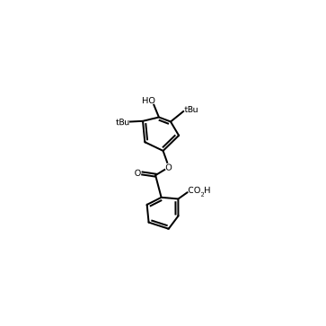 CC(C)(C)c1cc(OC(=O)c2ccccc2C(=O)O)cc(C(C)(C)C)c1O